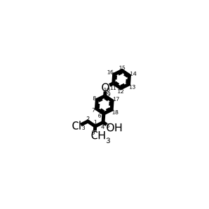 CC(CCl)C(O)c1ccc(Oc2ccccc2)cc1